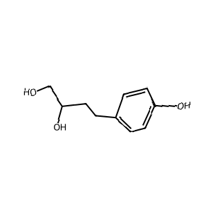 OCC(O)CCc1ccc(O)cc1